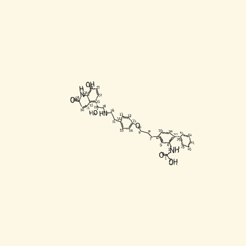 O=C(O)Nc1cc(CCCOc2ccc(CCNCC(O)c3ccc(O)c4[nH]c(=O)ccc34)cc2)ccc1-c1ccccc1